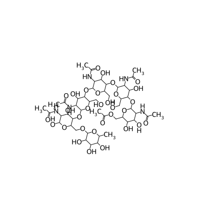 CC(=O)NC1C(O)OC(COC2OC(C)C(O)C(O)C2O)C(OC2OC(CO)C(OC3OC(CO)C(OC4OC(CO)C(OC5OC(COC(C)=O)C(O)C(O)C5NC(C)=O)C(O)C4NC(C)=O)C(O)C3NC(C)=O)C(O)C2NC(C)=O)C1O